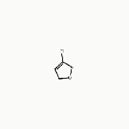 ClC1=CCO[N]1